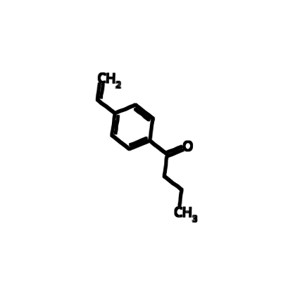 C=Cc1ccc(C(=O)CCC)cc1